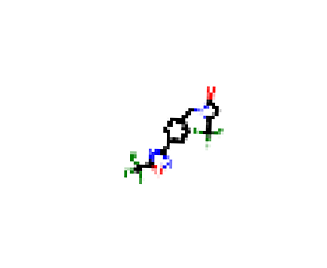 O=C1CC(C(F)(F)F)N1Cc1ccc(-c2noc(C(F)(F)F)n2)cc1